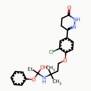 CCC(O)(NC(C)(C)CCOc1ccc(C2=NNC(=O)CC2)cc1Cl)Oc1ccccc1